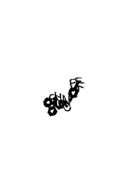 O=C(CN1CCC(c2ccccc2)(c2ccccc2)C1=O)NCc1ccc(C(F)(F)F)cc1